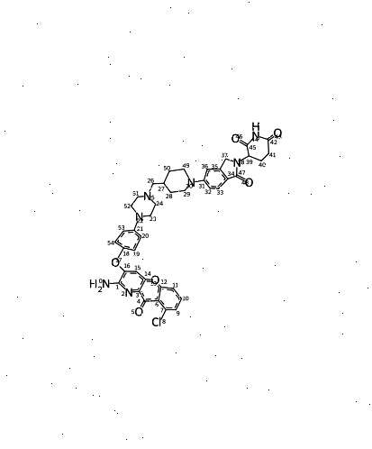 Nc1nc2c(=O)c3c(Cl)cccc3oc2cc1Oc1ccc(N2CCN(CC3CCN(c4ccc5c(c4)CN(C4CCC(=O)NC4=O)C5=O)CC3)CC2)cc1